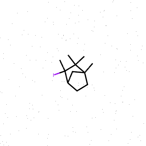 CC12CCC(C1)C(C)(I)C2(C)C